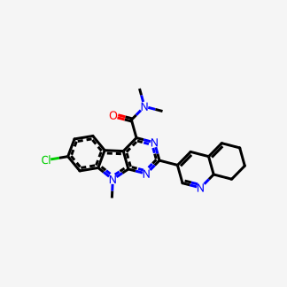 CN(C)C(=O)c1nc(C2=CC3=CCCCC3N=C2)nc2c1c1ccc(Cl)cc1n2C